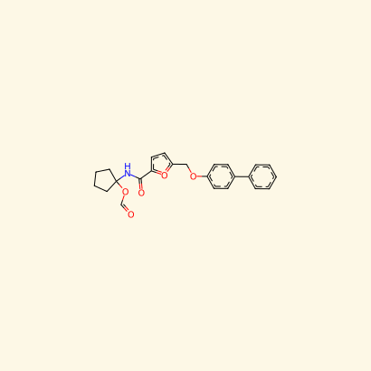 O=COC1(NC(=O)c2ccc(COc3ccc(-c4ccccc4)cc3)o2)CCCC1